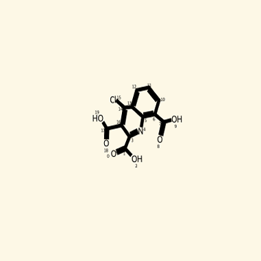 O=C(O)c1nc2c(C(=O)O)cccc2c(Cl)c1C(=O)O